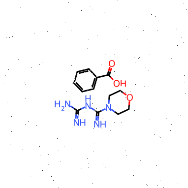 N=C(N)NC(=N)N1CCOCC1.O=C(O)c1ccccc1